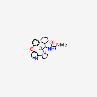 CNC(C)C(=O)NC(C(=O)N1CCC[C@H]1c1cc(Oc2ccccc2)ccn1)C1CCCCC1